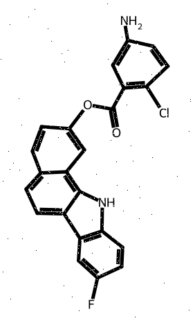 Nc1ccc(Cl)c(C(=O)Oc2ccc3ccc4c5cc(F)ccc5[nH]c4c3c2)c1